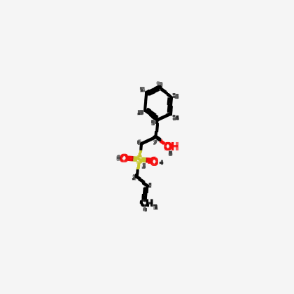 C=CCS(=O)(=O)CC(O)c1ccccc1